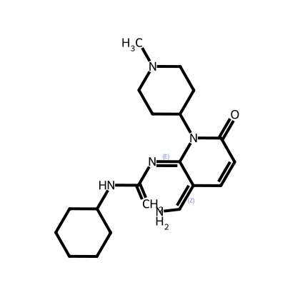 C=C(/N=C1\C(=C/N)C=CC(=O)N1C1CCN(C)CC1)NC1CCCCC1